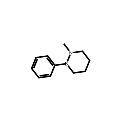 CN1CCCCB1c1ccccc1